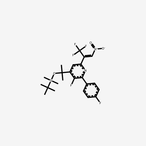 CC(C)(O[Si](C)(C)C(C)(C)C)c1cc(C(=C[N+](=O)[O-])C(F)(F)F)nc(-c2ccc(F)cc2)c1F